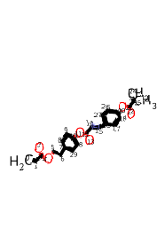 C=CC(=O)OCCc1ccc(OC(=O)/C=C/c2ccc(OC(=O)C(=C)C)cc2)cc1